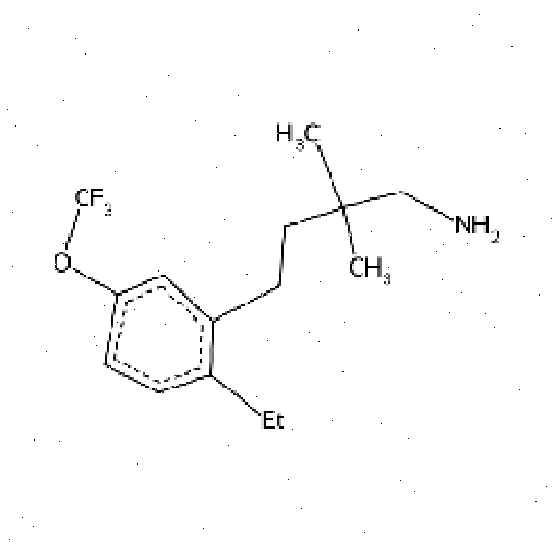 CCc1ccc(OC(F)(F)F)cc1CCC(C)(C)CN